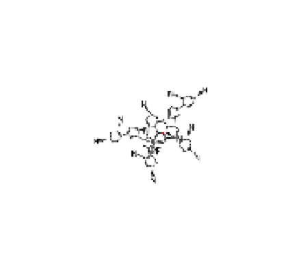 N#Cc1cc(-c2c(-n3c4ccc(-c5ccc(C#N)cc5C#N)cc4c4cc(-c5ccc(C#N)cc5C#N)ccc43)cc(C#N)cc2-n2c3ccc(-c4ccc(C#N)cc4C#N)cc3c3cc(-c4ccc(C#N)cc4C#N)ccc32)cc(C(F)(F)F)c1